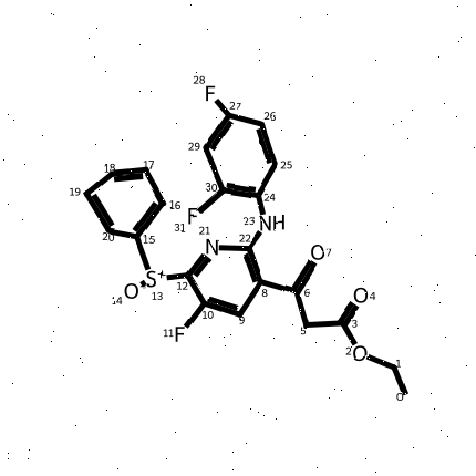 CCOC(=O)CC(=O)c1cc(F)c([S+]([O-])c2ccccc2)nc1Nc1ccc(F)cc1F